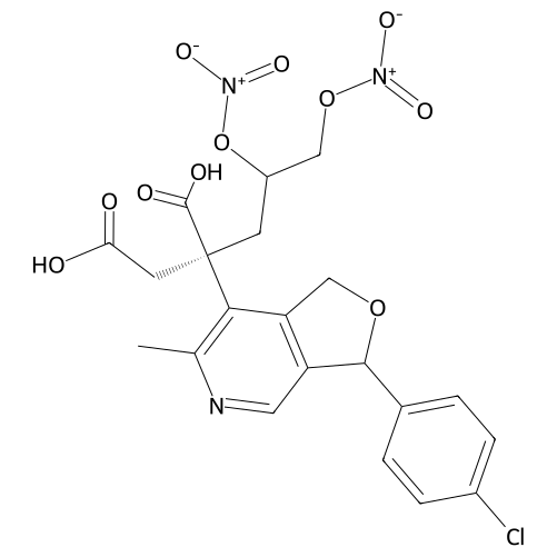 Cc1ncc2c(c1[C@](CC(=O)O)(CC(CO[N+](=O)[O-])O[N+](=O)[O-])C(=O)O)COC2c1ccc(Cl)cc1